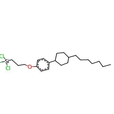 CCCCCCCC1CCC(c2ccc(OCCC[Si](Cl)(Cl)Cl)cc2)CC1